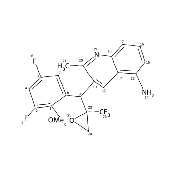 COc1c(F)cc(F)cc1C(c1cc2c(N)cccc2nc1C)C1(C(F)(F)F)CO1